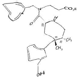 CCOC(=O)CCN(Cc1ccccc1)C(=O)[C@H]1C[C@@](C)(c2cccc(O)c2)[C@@H](C)CN1